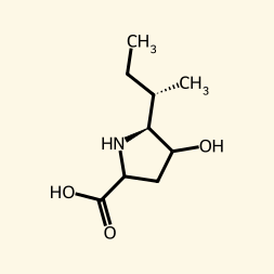 CC[C@H](C)[C@@H]1NC(C(=O)O)CC1O